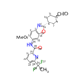 COc1cc2nc([C@H]3CC[C@H](C=O)CC3)oc2cc1NC(=O)c1cccc(C(C)(F)F)n1